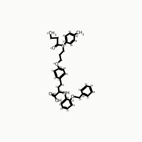 CCCC(=O)N(CCCOc1ccc(CCC(Nc2ccccc2OCc2ccccc2)C(=O)O)cc1)c1ccc(C)cc1